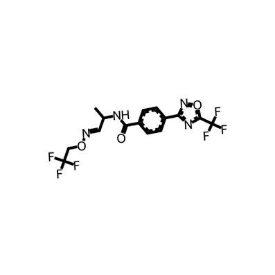 CC(C=NOCC(F)(F)F)NC(=O)c1ccc(-c2noc(C(F)(F)F)n2)cc1